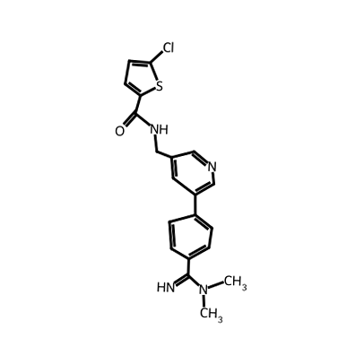 CN(C)C(=N)c1ccc(-c2cncc(CNC(=O)c3ccc(Cl)s3)c2)cc1